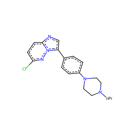 CCCN1CCN(c2ccc(-c3cnc4ccc(Cl)nn34)cc2)CC1